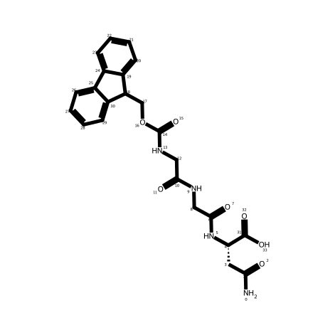 NC(=O)C[C@H](NC(=O)CNC(=O)CNC(=O)OCC1c2ccccc2-c2ccccc21)C(=O)O